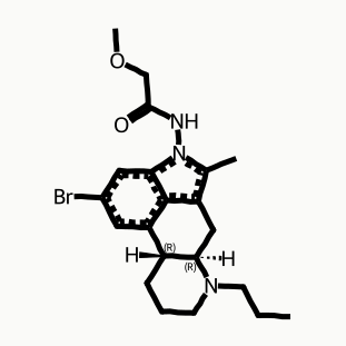 CCCN1CCC[C@@H]2c3cc(Br)cc4c3c(c(C)n4NC(=O)COC)C[C@H]21